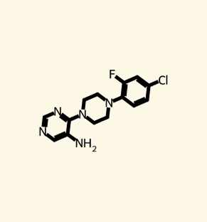 Nc1cncnc1N1CCN(c2ccc(Cl)cc2F)CC1